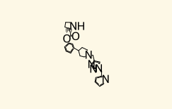 O=C(Oc1cccc(C2CCN(Cc3cn(Cc4ccccn4)nn3)CC2)c1)[C@H]1CCCN1